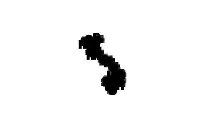 COC(=O)NC(C(=O)N1CCC[C@H]1c1ncc(-c2ccc3cc(-c4ccc(-c5cnc([C@@H]6CCCN6C(=O)[C@H](NC(=O)OC)c6ccccc6)[nH]5)cc4)ccc3c2)[nH]1)[C@@H](C)OC(F)F